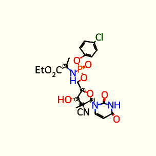 CCOC(=O)[C@H](C)NP(=O)(OC[C@H]1O[C@@H](n2ccc(=O)[nH]c2=O)[C@](C)(C#N)[C@@H]1O)Oc1ccc(Cl)cc1